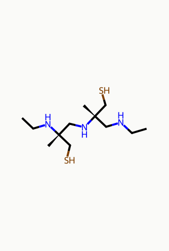 CCNC[C@@](C)(CS)NC[C@](C)(CS)NCC